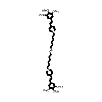 COc1cc(/C=C/c2cc[n+](CCCCCCSSCCCCCC[n+]3ccc(/C=C/c4cc(OC)c(OC)c(OC)c4)cc3)cc2)cc(OC)c1OC